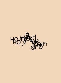 CC(OC(=O)NC(CC[S+](C)[O-])CSSCC1(C(=O)NC(CC(=O)O)C(=O)O)CCCC1)OC(=O)C(C)C